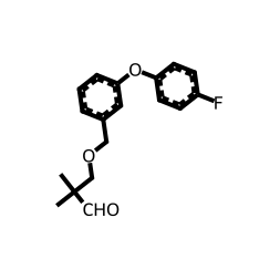 CC(C)(C=O)COCc1cccc(Oc2ccc(F)cc2)c1